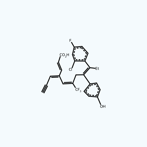 C#C/C=C(/C=C/C(=O)O)\C=C(/C/C(=C(/CC)c1ccc(F)cc1Cl)c1ccc(O)cc1)C(F)(F)F